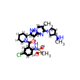 CN[C@@H]1CCN(c2nc3cc([C@@H]4CCCCN4C(=O)c4cc(Cl)ccc4NS(C)(=O)=O)nn3cc2C)C1